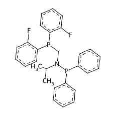 CC(C)N(CP(c1ccccc1F)c1ccccc1F)P(c1ccccc1)c1ccccc1